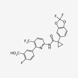 O=C(O)c1cc(-c2nc(NC(=O)C3(c4ccc5c(c4)OC(F)(F)O5)CC3)ccc2C(F)(F)F)ccc1F